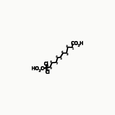 O=C(O)CCCCCCCCCC(Cl)(Cl)C(=O)O